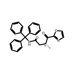 C[C@H](CC(=O)NC(c1ccccc1)(c1ccccc1)c1ccccc1)C(=O)c1ncco1